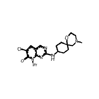 CC(C)n1c(=O)c(Cl)cc2cnc(NC3CCC4(CC3)CN(C)CCO4)nc21